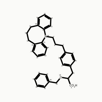 O=C(O)C(Cc1ccc(CCCN2c3ccccc3CCCc3ccccc32)cc1)OCc1ccccc1